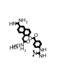 CN(C)C(=N)Nc1ccc(C(=O)Oc2ccc3cc(C(=N)N)ccc3c2CC(N)=O)cc1.Cl.Cl